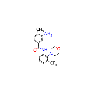 Cc1ccc(C(=O)Nc2cccc(C(F)(F)F)c2N2CCOCC2)cc1N